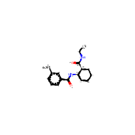 CC(=O)Nc1cccc(C(=O)N[C@@H]2CCCC[C@@H]2C(=O)NCC#N)c1